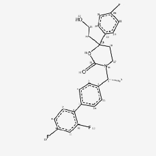 C[C@H](c1ccc(-c2ccc(F)cc2F)cc1)N1CCC(CCO)(c2ccc(F)cc2)OC1=O